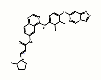 CC1C(Nc2ncnc3ccc(NC(=O)/C=C/[C@H]4CCCN4C)cc23)=CC=C(Oc2cc3nncn3cn2)C1C